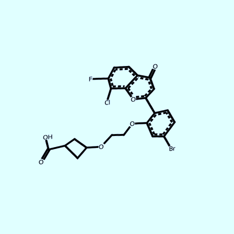 O=C(O)C1CC(OCCOc2cc(Br)ccc2-c2cc(=O)c3ccc(F)c(Cl)c3o2)C1